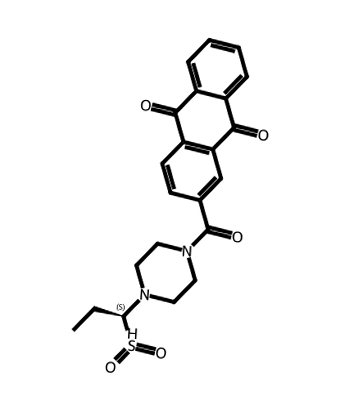 CC[C@@H](N1CCN(C(=O)c2ccc3c(c2)C(=O)c2ccccc2C3=O)CC1)[SH](=O)=O